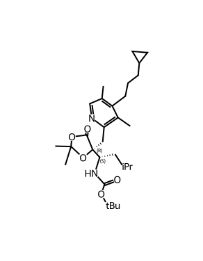 Cc1cnc(C[C@]2([C@H](CC(C)C)NC(=O)OC(C)(C)C)OC(C)(C)OC2=O)c(C)c1CCCC1CC1